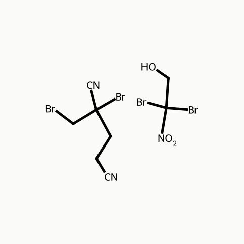 N#CCCC(Br)(C#N)CBr.O=[N+]([O-])C(Br)(Br)CO